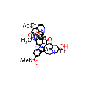 CC[C@]1(O)C[C@H]2CN(CCc3c([nH]c4ccc(C(=O)NC)cc34)[C@@](C(=O)OC)(C3C=C4C(=CC3OC)N(C)[C@@]35O[C@]3(C(=O)OC)[C@H](OC(C)=O)[C@]3(CC)C=CCN6CC[C@]45[C@@H]63)C2)C1